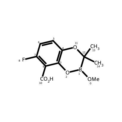 COB1Oc2c(ccc(F)c2C(=O)O)OC1(C)C